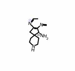 C=NC1=C(/N=C\C)CC2(CCNCC2)[C@@H]1N